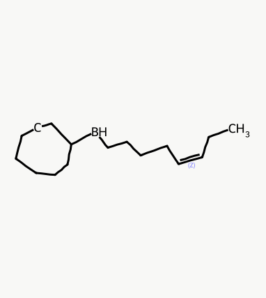 CC/C=C\CCCCBC1CCCCCCC1